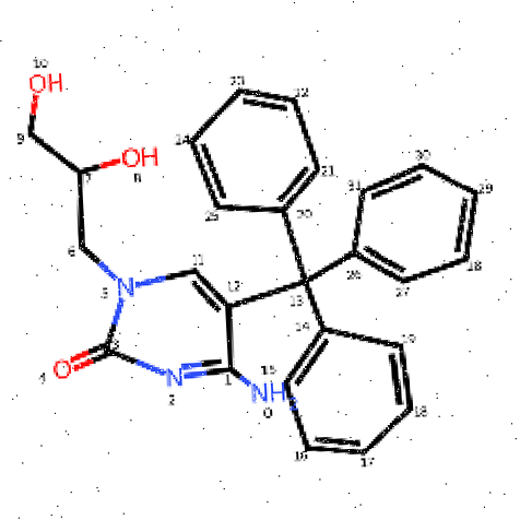 Nc1nc(=O)n(CC(O)CO)cc1C(c1ccccc1)(c1ccccc1)c1ccccc1